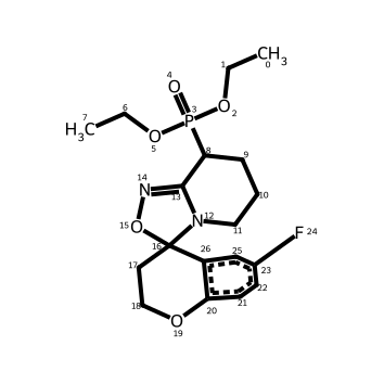 CCOP(=O)(OCC)C1CCCN2C1=NOC21CCOc2ccc(F)cc21